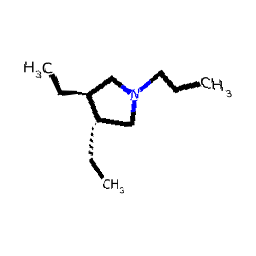 CCCN1C[C@H](CC)[C@@H](CC)C1